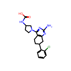 Nc1nc2c(c(N3CCC(NC(=O)O)C3)n1)CCC(c1ccccc1Cl)C2